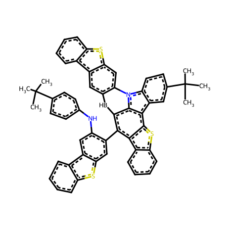 CC(C)(C)c1ccc(Nc2cc3c(cc2-c2c4c5c(c6cc(C(C)(C)C)ccc6n5-c5cc6sc7ccccc7c6cc5B4)c4sc5ccccc5c24)sc2ccccc23)cc1